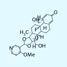 COc1ccncc1C1O[C@@H]2C[C@H]3[C@@H]4CCC5=CC(=O)C=C[C@]5(C)[C@@]4(F)[C@@H](O)C[C@]3(C)[C@]2(C(=O)CO)O1